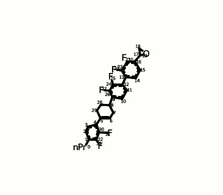 CCCc1ccc(C2=CCC(c3ccc(-c4ccc(C5CO5)c(F)c4F)c(F)c3F)CC2)c(F)c1F